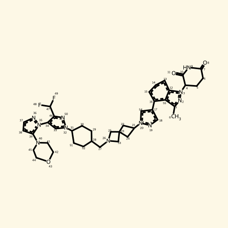 Cc1nn(C2CCC(=O)NC2=O)c2cccc(-c3cnn(C4CC5(C4)CN(CC4CCC(n6cc(-n7nccc7N7CCOCC7)c(C(F)F)n6)CC4)C5)c3)c12